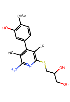 COc1ccc(-c2c(C#N)c(N)nc(SCC(O)CO)c2C#N)cc1O